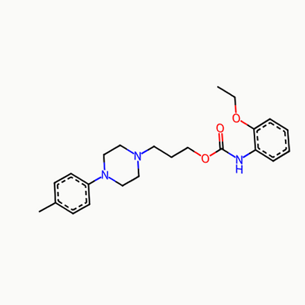 CCOc1ccccc1NC(=O)OCCCN1CCN(c2ccc(C)cc2)CC1